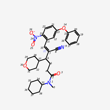 CN(C(=O)CCC(/C(C#N)=C/c1cc(Oc2ccccc2)ccc1[N+](=O)[O-])C1CCOCC1)C1CCCCC1